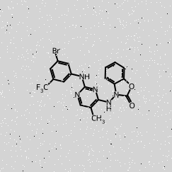 Cc1cnc(Nc2cc(Br)cc(C(F)(F)F)c2)nc1Nn1c(=O)oc2ccccc21